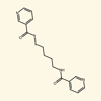 O=C(N=NCCCCNC(=O)c1cccnc1)c1cccnc1